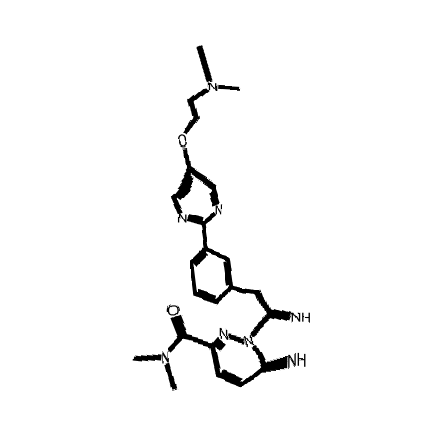 CN(C)CCOc1cnc(-c2cccc(CC(=N)n3nc(C(=O)N(C)C)ccc3=N)c2)nc1